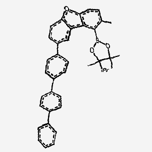 Cc1ccc2oc3ccc(-c4ccc(-c5ccc(-c6ccccc6)cc5)cc4)cc3c2c1B1OC(C)(C)C(C)(C(C)C)O1